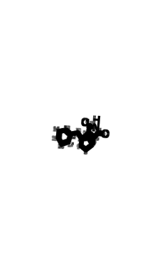 O=C1NC(=O)C2=C1C1CCC2(Cc2ccccc2)C1